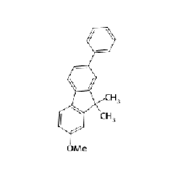 COc1ccc2c(c1)C(C)(C)c1cc(-c3ccccc3)ccc1-2